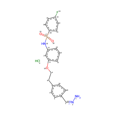 Cl.N/N=C\c1ccc(CCOc2cccc(NS(=O)(=O)c3ccc(F)cc3)c2)cc1